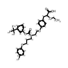 CCOC(Cc1ccc(OCCN(CCCOc2ccc(F)cc2)C(=O)Oc2cccc(C(F)(F)F)c2)cc1)C(=O)O